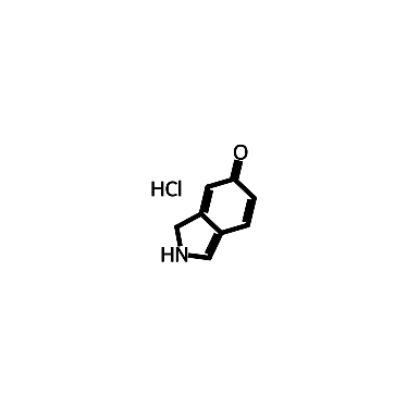 Cl.O=C1C=CC2=CNCC2=C1